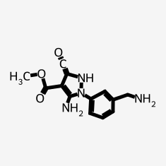 COC(=O)C1=C(N)N(c2cccc(CN)c2)NC1=C=O